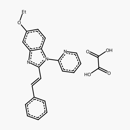 CCOc1ccc2c(c1)nc(/C=C/c1ccccc1)n2-c1ccccn1.O=C(O)C(=O)O